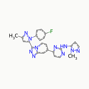 Cc1cc(-c2nnc3cc(-c4ccnc(Nc5ccnn5C)n4)ccn23)n(-c2ccc(F)cc2)n1